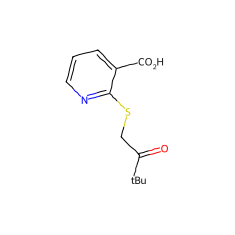 CC(C)(C)C(=O)CSc1ncccc1C(=O)O